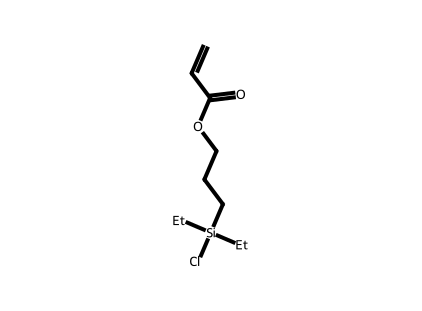 C=CC(=O)OCCC[Si](Cl)(CC)CC